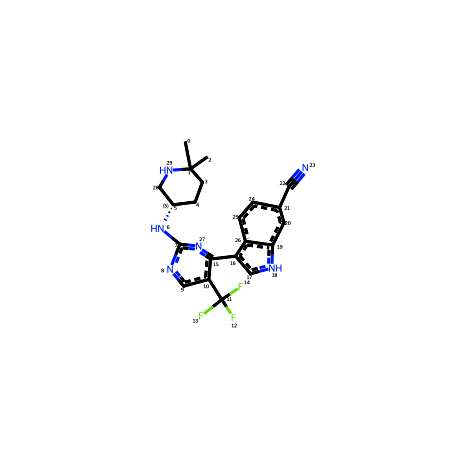 CC1(C)CC[C@H](Nc2ncc(C(F)(F)F)c(-c3c[nH]c4cc(C#N)ccc34)n2)CN1